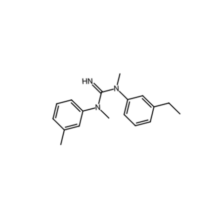 CCc1cccc(N(C)C(=N)N(C)c2cccc(C)c2)c1